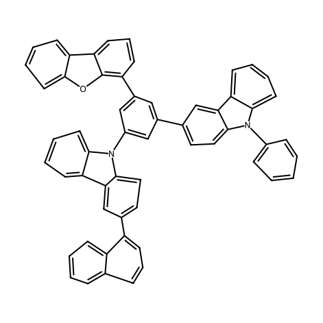 c1ccc(-n2c3ccccc3c3cc(-c4cc(-c5cccc6c5oc5ccccc56)cc(-n5c6ccccc6c6cc(-c7cccc8ccccc78)ccc65)c4)ccc32)cc1